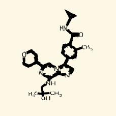 Cc1cc(-c2cnc3c(NCC(C)(C)O)nc(C4=CCOCC4)cn23)ccc1C(=O)NC1CC1